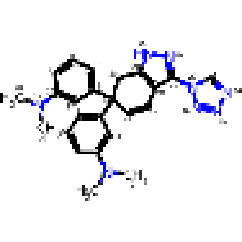 CN(C)c1cccc(C2(c3cccc(N(C)C)c3)C=Cc3c(-n4cnnn4)n[nH]c3C2)c1